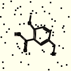 COc1ccc(CBr)cc1C(=O)O